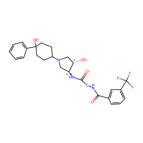 O=C(CNC(=O)c1cccc(C(F)(F)F)c1)N[C@H]1CN(C2CCC(O)(c3ccccc3)CC2)C[C@@H]1O